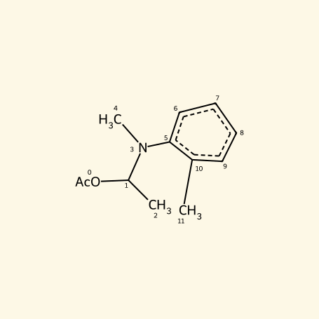 CC(=O)OC(C)N(C)c1ccccc1C